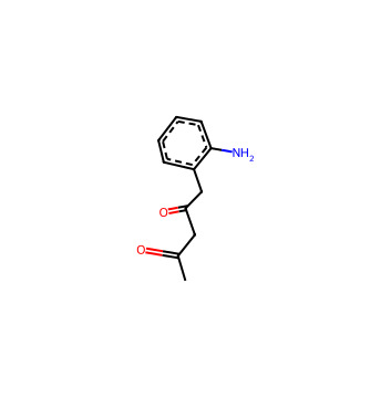 CC(=O)CC(=O)Cc1ccccc1N